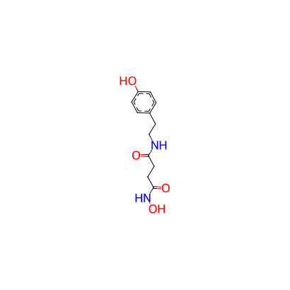 O=C(CCC(=O)NCCc1ccc(O)cc1)NO